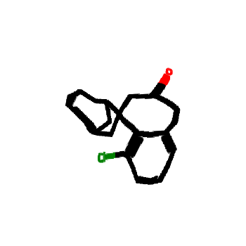 O=C1Cc2cccc(Cl)c2C2(C1)CC1=CCC2C1